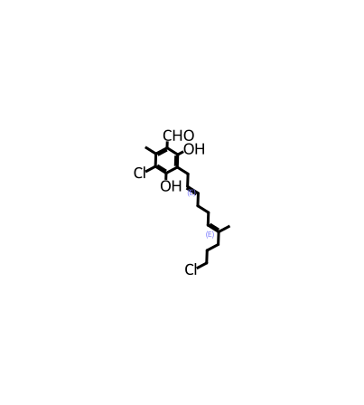 C/C(=C\CC/C=C/Cc1c(O)c(Cl)c(C)c(C=O)c1O)CCCCl